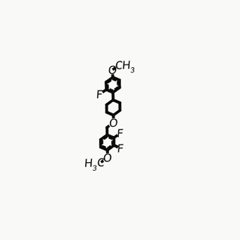 COc1ccc(C2CCC(OCc3ccc(OC)c(F)c3F)CC2)c(F)c1